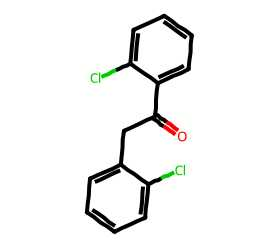 O=C(Cc1ccccc1Cl)c1ccccc1Cl